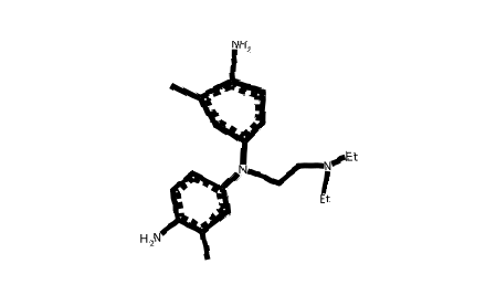 CCN(CC)CCN(c1ccc(N)c(C)c1)c1ccc(N)c(C)c1